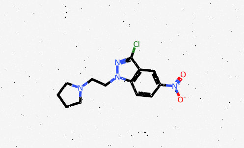 O=[N+]([O-])c1ccc2c(c1)c(Cl)nn2CCN1CCCC1